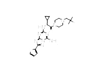 CC(C)(F)CN1CCN(C(=O)[C@@H](Nc2nc(N)n3nc(-c4ccco4)nc3n2)C2CC2)CC1